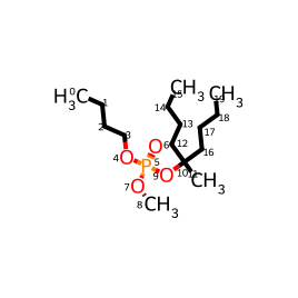 CCCCOP(=O)(OC)OC(C)(CCCC)CCCC